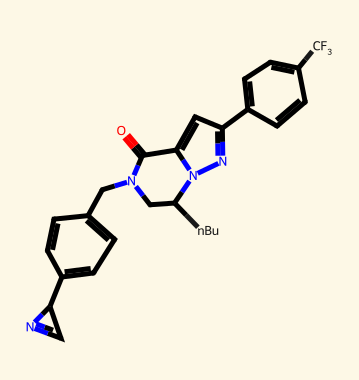 CCCCC1CN(Cc2ccc(C3C=N3)cc2)C(=O)c2cc(-c3ccc(C(F)(F)F)cc3)nn21